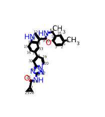 Cc1cccc([C@H](C)NC(=O)c2c[nH]c3ccc(-c4ccn5nc(NC(=O)C6CC6)nc5c4)cc23)c1